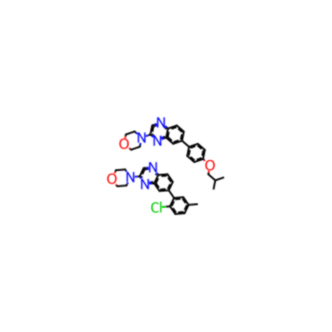 CC(C)COc1ccc(-c2ccc3ncc(N4CCOCC4)nc3c2)cc1.Cc1ccc(Cl)c(-c2ccc3ncc(N4CCOCC4)nc3c2)c1